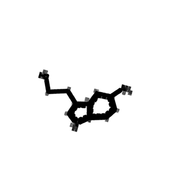 Nc1ccc2[nH]cc(CCO)c2c1